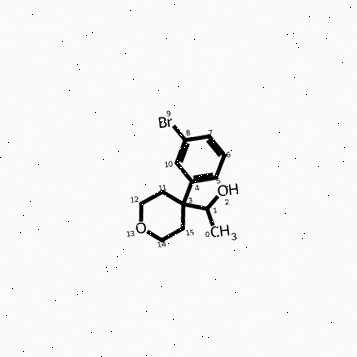 CC(O)C1(c2cccc(Br)c2)CCOCC1